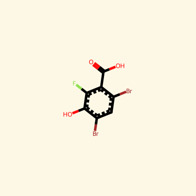 O=C(O)c1c(Br)cc(Br)c(O)c1F